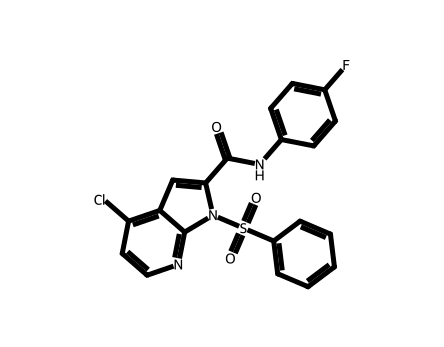 O=C(Nc1ccc(F)cc1)c1cc2c(Cl)ccnc2n1S(=O)(=O)c1ccccc1